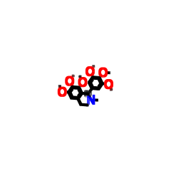 COc1cc([C@@H]2c3c(cc(OC)c(OC)c3OC)CCN2C)cc(OC)c1OC